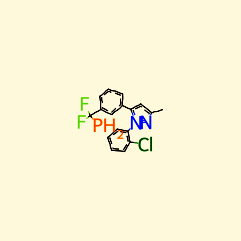 Cc1cc(-c2cccc(C(F)(F)P)c2)n(-c2ccccc2Cl)n1